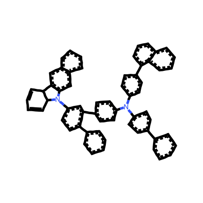 C1=CC2c3cc4ccccc4cc3N(c3ccc(-c4ccccc4)c(-c4ccc(N(c5ccc(-c6ccccc6)cc5)c5ccc(-c6cccc7ccccc67)cc5)cc4)c3)C2C=C1